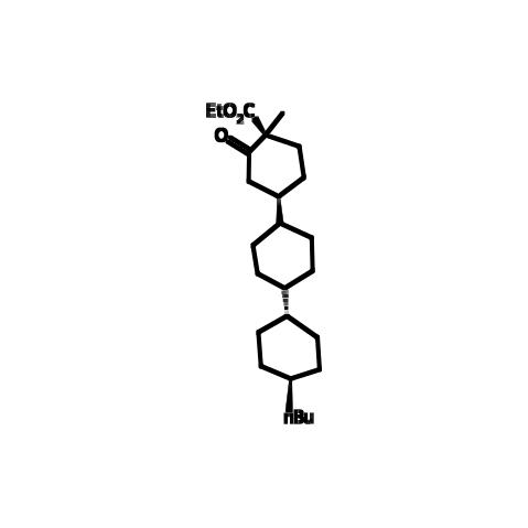 CCCC[C@H]1CC[C@H](C2CCC([C@@H]3CC[C@](C)(C(=O)OCC)C(=O)C3)CC2)CC1